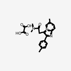 Cc1ccc(-c2nc3ccc(C)cn3c2CC(=O)N(C)C)cc1.O=C(O)C(=O)O